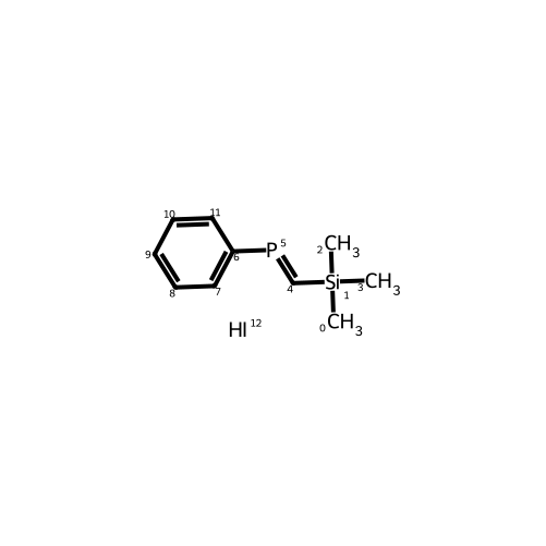 C[Si](C)(C)C=Pc1ccccc1.I